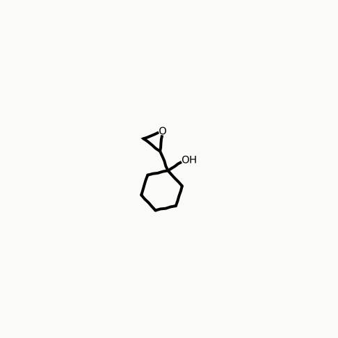 OC1(C2CO2)CCCCC1